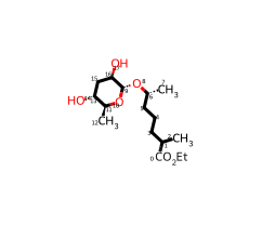 CCOC(=O)C(C)CCC[C@@H](C)O[C@@H]1O[C@@H](C)[C@H](O)C[C@H]1O